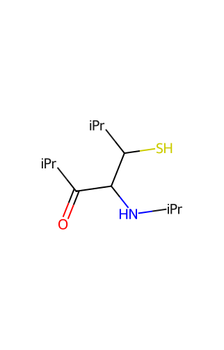 CC(C)NC(C(=O)C(C)C)C(S)C(C)C